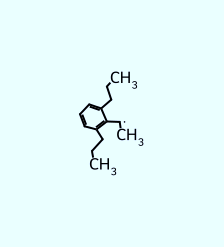 C[CH]c1c(CCC)cccc1CCC